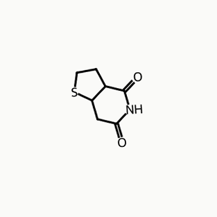 O=C1CC2SCCC2C(=O)N1